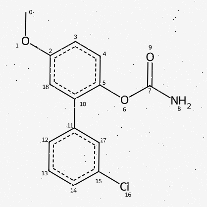 COc1ccc(OC(N)=O)c(-c2cccc(Cl)c2)c1